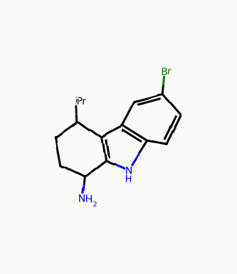 CC(C)C1CCC(N)c2[nH]c3ccc(Br)cc3c21